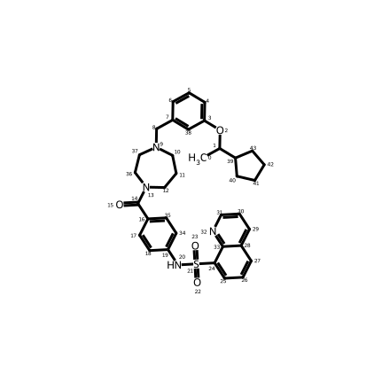 CC(Oc1cccc(CN2CCCN(C(=O)c3ccc(NS(=O)(=O)c4cccc5cccnc45)cc3)CC2)c1)C1CCCC1